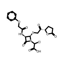 O=C(COc1ccccc1)N[C@@H]1C(=O)N(C(Cl)C(=O)O)[C@@H]1SCC(=O)[C@@H]1CCC(=O)O1